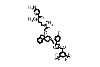 CN(CCCN(C)C(=O)c1ccc(N)cn1)C(=O)CO[C@H]1Cc2ccccc2C12CCN(CC[C@@]1(c3ccc(F)cc3)CN(C(=O)c3cc(C(F)(F)F)cc(C(F)(F)F)c3)CO1)CC2